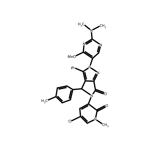 COc1nc(N(C)C)ncc1-n1nc2c(c1C(C)C)C(c1ccc(C)cc1)N(c1cc(Cl)cn(C)c1=O)C2=O